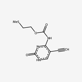 C#Cc1c[nH]c(=O)nc1NC(=O)OCCSC